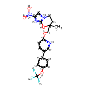 CC1(COc2ccc(-c3ccc(OC(F)(F)F)cc3)cn2)CCn2cc([N+](=O)[O-])nc2O1